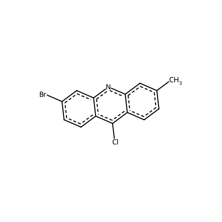 Cc1ccc2c(Cl)c3ccc(Br)cc3nc2c1